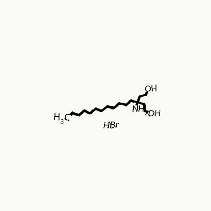 Br.CCCCCCCCCCCCC(N)(CCO)CCO